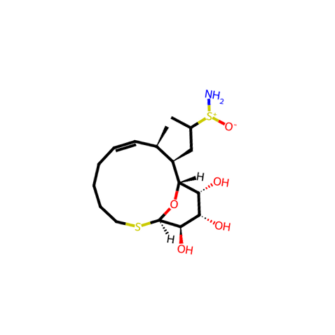 CC(C[C@H]1[C@H]2O[C@H](SCCCCC=C[C@H]1C)[C@H](O)[C@@H](O)[C@H]2O)[S+](N)[O-]